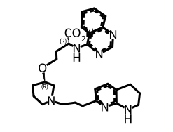 O=C(O)[C@@H](CCO[C@@H]1CCCN(CCCc2ccc3c(n2)NCCC3)C1)Nc1ncnc2ccccc12